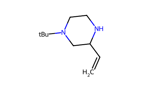 C=CC1CN(C(C)(C)C)CCN1